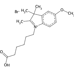 COc1ccc2c(c1)C(C)(C)C(C)=[N+]2CCCCCC(=O)O.[Br-]